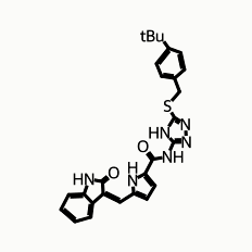 CC(C)(C)c1ccc(CSc2nnc(NC(=O)c3ccc(/C=C4\C(=O)Nc5ccccc54)[nH]3)[nH]2)cc1